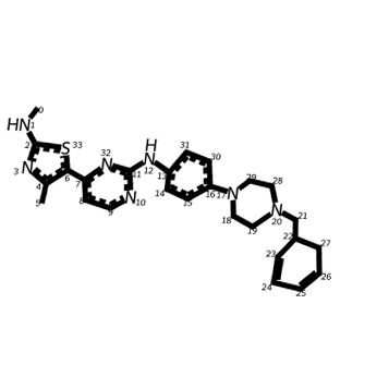 CNc1nc(C)c(-c2ccnc(Nc3ccc(N4CCN(CC5C=CC=CC5)CC4)cc3)n2)s1